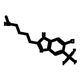 CNCCCCc1nc2cc(C(F)(F)F)c(Cl)cc2[nH]1